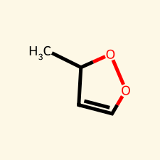 CC1C=COO1